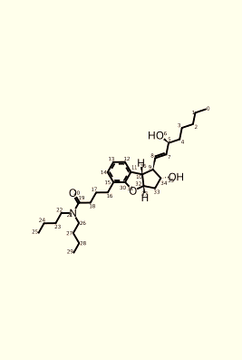 CCCCC[C@H](O)/C=C/[C@@H]1[C@H]2c3cccc(CCCC(=O)N(CCCC)CCCC)c3O[C@H]2C[C@H]1O